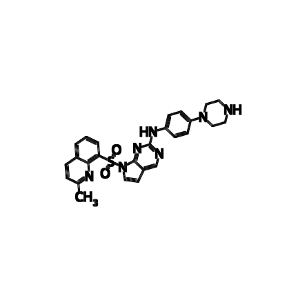 Cc1ccc2cccc(S(=O)(=O)n3ccc4cnc(Nc5ccc(N6CCNCC6)cc5)nc43)c2n1